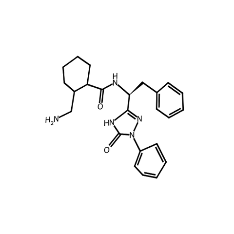 NCC1CCCCC1C(=O)N[C@@H](Cc1ccccc1)c1nn(-c2ccccc2)c(=O)[nH]1